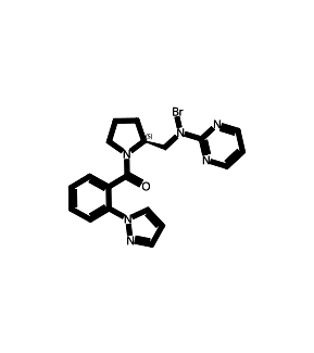 O=C(c1ccccc1-n1cccn1)N1CCC[C@H]1CN(Br)c1ncccn1